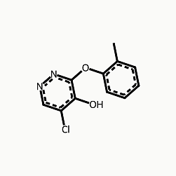 Cc1ccccc1Oc1nncc(Cl)c1O